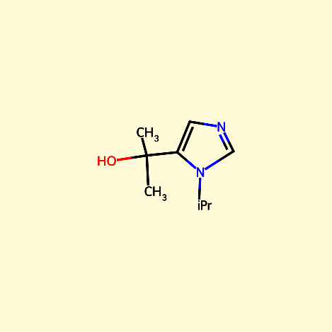 CC(C)n1cncc1C(C)(C)O